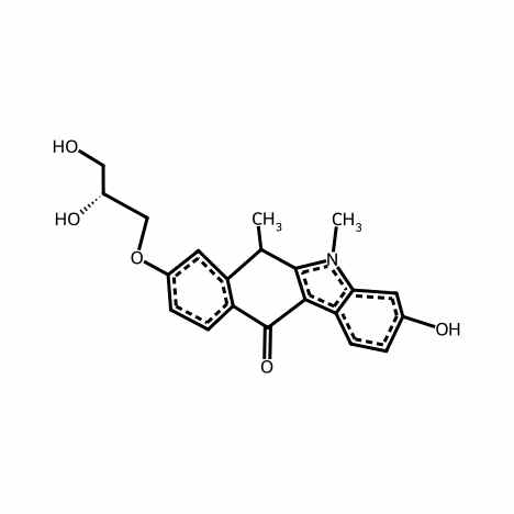 CC1c2cc(OC[C@H](O)CO)ccc2C(=O)c2c1n(C)c1cc(O)ccc21